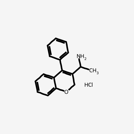 CC(N)C1=C(c2ccccc2)c2ccccc2OC1.Cl